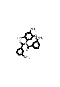 Nc1cccc(C(=O)N(C(=O)c2cccc(N)c2)c2cc(O)c(N)cc2O)c1